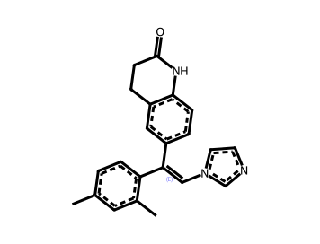 Cc1ccc(/C(=C/n2ccnc2)c2ccc3c(c2)CCC(=O)N3)c(C)c1